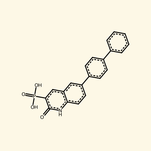 O=c1[nH]c2ccc(-c3ccc(-c4ccccc4)cc3)cc2cc1P(=O)(O)O